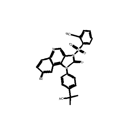 CC(C)(C#N)c1ccc(-n2c(=O)n(S(=O)(=O)c3ccccc3C#N)c3cnc4ccc(Br)cc4c32)cc1